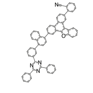 N#Cc1ccccc1-c1ccc2c3ccc(-c4ccc(-c5cccc(-c6nc(-c7ccccc7)nc(-c7ccccc7)n6)c5)c5ccccc45)cc3c3oc4ccccc4c3c2c1